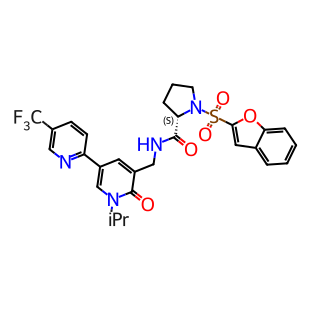 CC(C)n1cc(-c2ccc(C(F)(F)F)cn2)cc(CNC(=O)[C@@H]2CCCN2S(=O)(=O)c2cc3ccccc3o2)c1=O